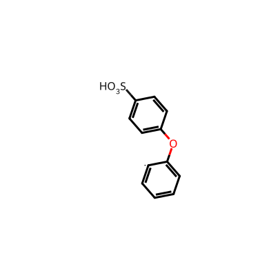 O=S(=O)(O)c1ccc(Oc2[c]cccc2)cc1